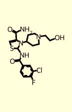 NC(=O)C1=CSC(NC(=O)c2ccc(F)c(Cl)c2)N1C1CCN(CCO)CC1